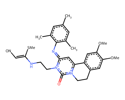 COc1cc2c(cc1OC)-c1c/c(=N\c3c(C)cc(C)cc3C)n(CCN/C(=C/N=O)SC)c(=O)n1CC2